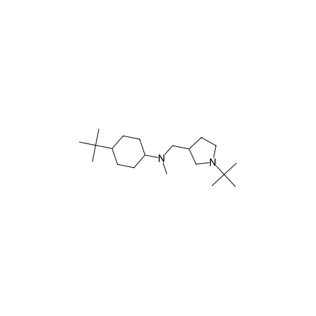 CN(CC1CCN(C(C)(C)C)C1)C1CCC(C(C)(C)C)CC1